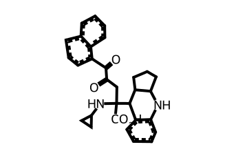 O=C(CC(NC1CC1)(C(=O)O)C1c2ccccc2NC2CCCC21)C(=O)c1cccc2ccccc12